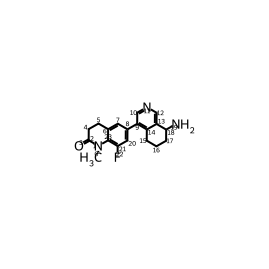 CN1C(=O)CCc2cc(-c3cncc4c3CCCC4N)cc(F)c21